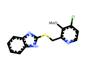 COc1c(Cl)ccnc1CSc1nc2ccccc2[nH]1